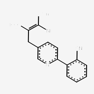 CCCCCC(N)=C(Cc1ccc(-c2ccccc2C#N)nc1)C(=O)O